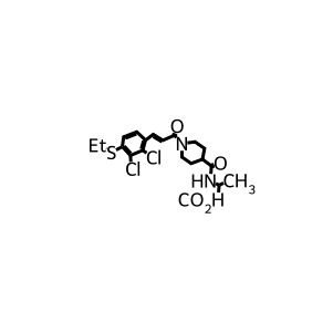 CCSc1ccc(/C=C/C(=O)N2CCC(C(=O)NC(C)C(=O)O)CC2)c(Cl)c1Cl